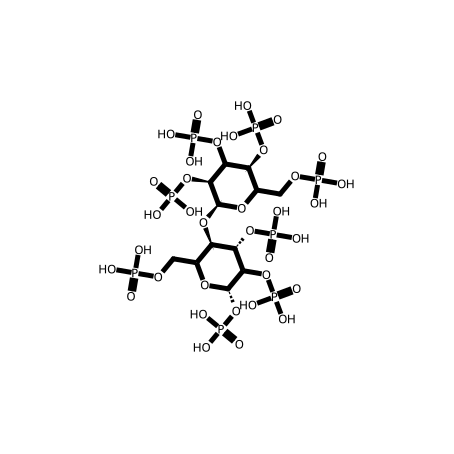 O=P(O)(O)OCC1O[C@@H](O[C@@H]2C(COP(=O)(O)O)O[C@@H](OP(=O)(O)O)C(OP(=O)(O)O)[C@H]2OP(=O)(O)O)[C@@H](OP(=O)(O)O)C(OP(=O)(O)O)[C@H]1OP(=O)(O)O